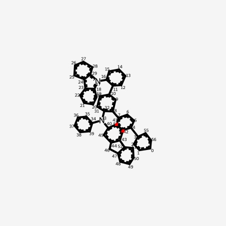 c1ccc(-c2ccc(-c3cc(-c4ccccc4-n4c5ccccc5c5ccccc54)ccc3N(c3ccccc3)c3ccc4c(c3)Cc3ccccc3-4)cc2)cc1